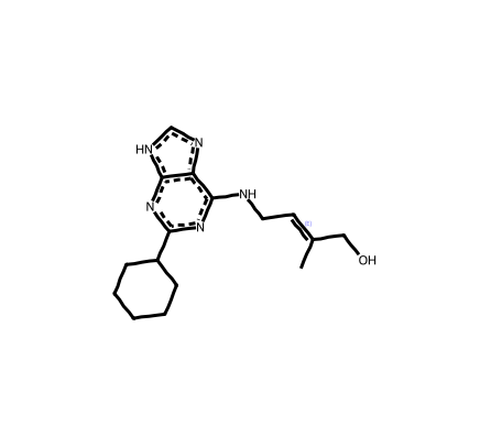 C/C(=C\CNc1nc(C2CCCCC2)nc2[nH]cnc12)CO